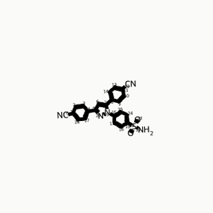 N#Cc1ccc(-c2cc(-c3ccc(C#N)cc3)n(-c3ccc(S(N)(=O)=O)cc3)n2)cc1